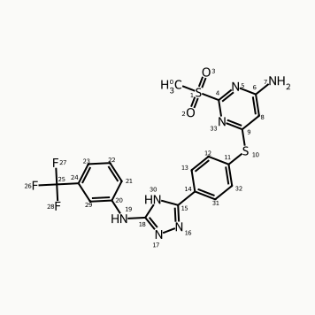 CS(=O)(=O)c1nc(N)cc(Sc2ccc(-c3nnc(Nc4cccc(C(F)(F)F)c4)[nH]3)cc2)n1